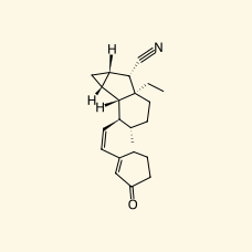 CC[C@]12CC[C@H](C)[C@@H](/C=C\C3=CC(=O)CCC3)[C@@H]1[C@@H]1C[C@@H]1[C@@H]2C#N